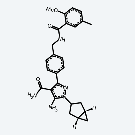 COc1ccc(C)cc1C(=O)NCc1ccc(-c2nn(C3C[C@@H]4C[C@@H]4C3)c(N)c2C(N)=O)cc1